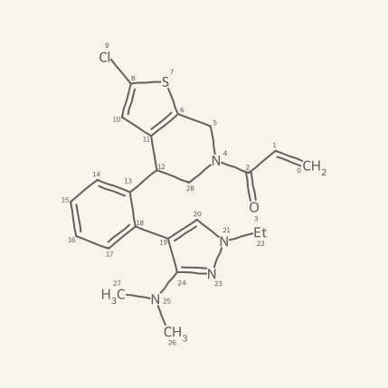 C=CC(=O)N1Cc2sc(Cl)cc2C(c2ccccc2-c2cn(CC)nc2N(C)C)C1